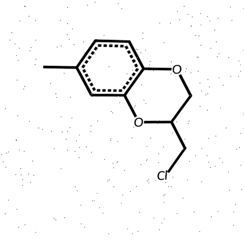 Cc1ccc2c(c1)OC(CCl)CO2